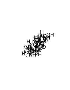 CC(=O)CN1CCN(CC(=O)O)CCN(CC(=O)O)CCN(CC(=O)N[C@@H](CCCNC(=N)N)C(=O)NCC(=O)Nc2ccc(C(=O)NCCC[C@@H]3C(=O)N[C@@H](CCCNC(=N)N)C(=O)N[C@@H](Cc4ccc5ccccc5c4)C(=O)NCC(=O)N[C@H](Cc4ccc(O)cc4)C(=O)N3C)cc2)CC1